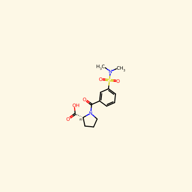 CN(C)S(=O)(=O)c1cccc(C(=O)N2CCC[C@@H]2C(=O)O)c1